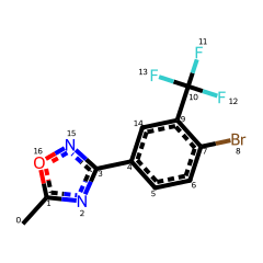 Cc1nc(-c2ccc(Br)c(C(F)(F)F)c2)no1